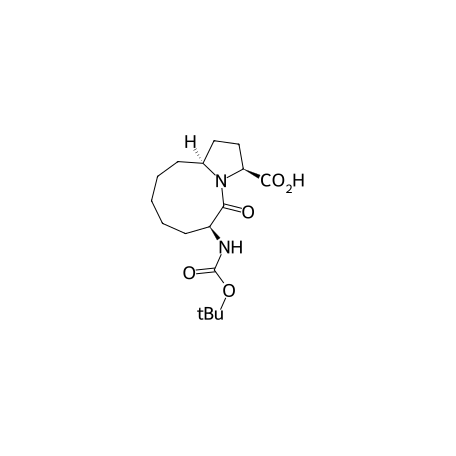 CC(C)(C)OC(=O)N[C@H]1CCCCC[C@H]2CC[C@@H](C(=O)O)N2C1=O